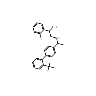 CC(NCC(O)c1ccccc1F)c1ccc(-c2ccccc2C(F)(F)F)cc1